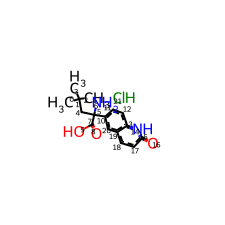 CC(C)(C)CC(N)(C(=O)O)c1ccc2[nH]c(=O)ccc2c1.Cl